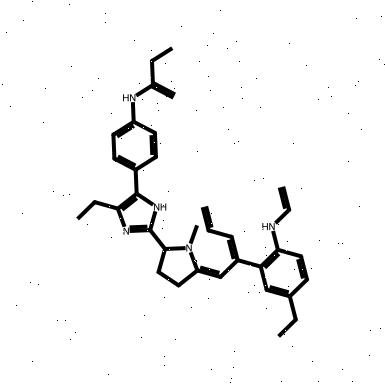 C=C/C=C(\C=C1\CCC(c2nc(CC)c(-c3ccc(NC(=C)CC)cc3)[nH]2)N1C)c1cc(CC)ccc1NC=C